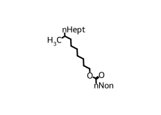 CCCCCCCCCC(=O)OCCCCCCCC(C)CCCCCCC